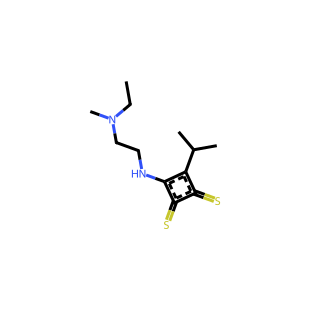 CCN(C)CCNc1c(C(C)C)c(=S)c1=S